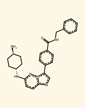 N[C@H]1CC[C@H](Nc2ccc3ncc(-c4ccc(C(=O)NCc5ccccc5)cc4)n3n2)CC1